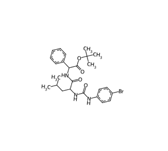 CC(C)CC(NC(=O)Nc1ccc(Br)cc1)C(=O)NC(C(=O)OC(C)(C)C)c1ccccc1